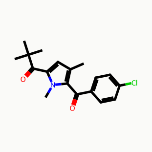 Cc1cc(C(=O)C(C)(C)C)n(C)c1C(=O)c1ccc(Cl)cc1